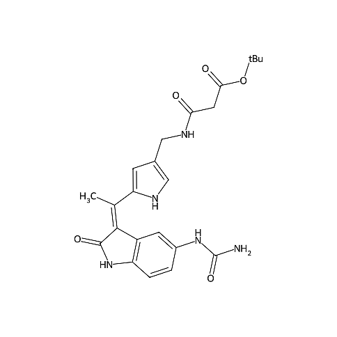 C/C(=C1\C(=O)Nc2ccc(NC(N)=O)cc21)c1cc(CNC(=O)CC(=O)OC(C)(C)C)c[nH]1